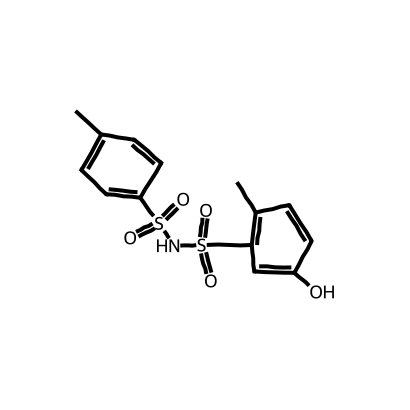 Cc1ccc(S(=O)(=O)NS(=O)(=O)c2cc(O)ccc2C)cc1